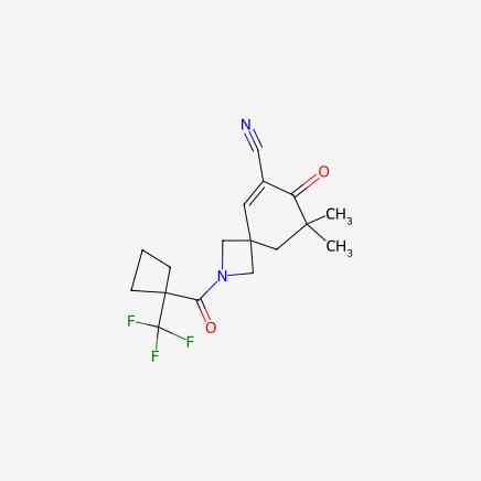 CC1(C)CC2(C=C(C#N)C1=O)CN(C(=O)C1(C(F)(F)F)CCC1)C2